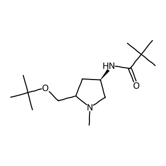 CN1C[C@H](NC(=O)C(C)(C)C)CC1COC(C)(C)C